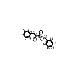 [O]C(Cc1ccccc1)C(=O)OCc1ccccc1